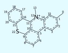 Cc1ccc2c3cccc4c3c([n+](C)c2c1)-c1ccccc1S4